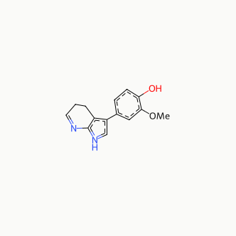 COc1cc(-c2c[nH]c3c2CCC=N3)ccc1O